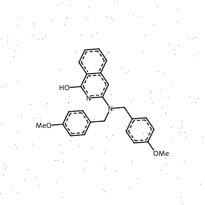 COc1ccc(CN(Cc2ccc(OC)cc2)c2cc3ccccc3c(O)n2)cc1